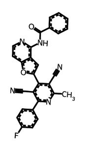 Cc1nc(-c2ccc(F)cc2)c(C#N)c(-c2cc3c(NC(=O)c4ccccc4)nccc3o2)c1C#N